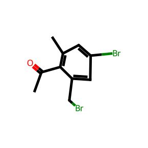 CC(=O)c1c(C)cc(Br)cc1CBr